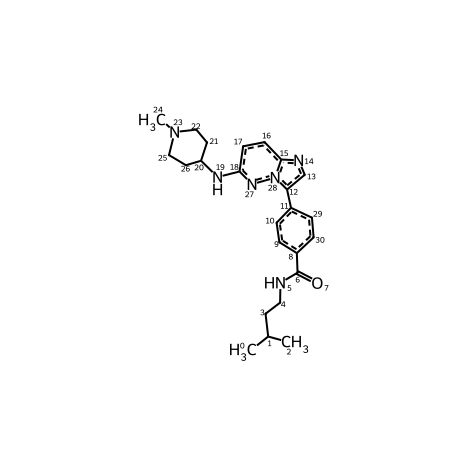 CC(C)CCNC(=O)c1ccc(-c2cnc3ccc(NC4CCN(C)CC4)nn23)cc1